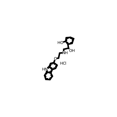 Cl.Oc1ccccc1C(O)CNCCOc1ccc2c(c1)[nH]c1ccccc12